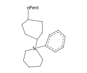 CCCCCC1CCC([Si]2(c3ccccc3)CCCCC2)CC1